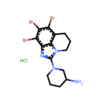 Cl.NC1CCCN(c2nc3c(Br)c(Br)c(Br)c4c3n2CCC4)C1